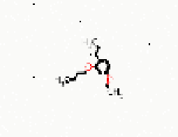 C=CCc1ccc(OCC)cc1OCCCC